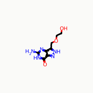 Nc1nc2c(COCCO)[nH]nc2c(=O)[nH]1